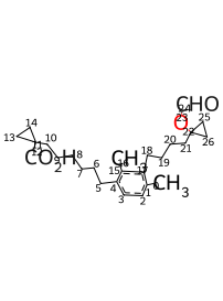 Cc1ccc(CCCCCCC2(C(=O)O)CC2)c(C)c1CCCCC1(OC=O)CC1